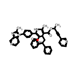 COC(=O)C1=C(c2ccc(-n3c(C)nc4cnccc43)cc2)NC(C)=C(C(=O)OC(C)C#Cc2cccnc2)C1CC(c1ccccc1)c1ccccc1